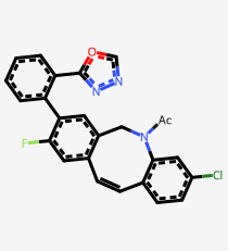 CC(=O)N1Cc2cc(-c3ccccc3-c3nnco3)c(F)cc2/C=C\c2ccc(Cl)cc21